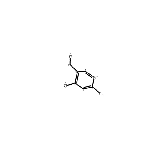 Fc1cc(Cl)c(CCl)cn1